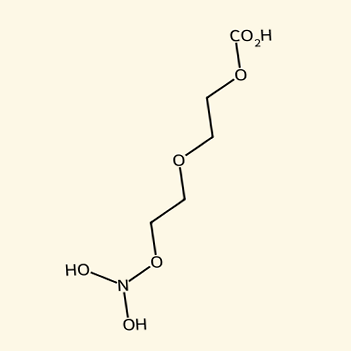 O=C(O)OCCOCCON(O)O